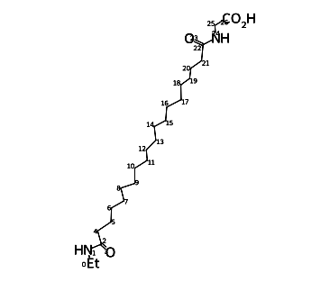 CCNC(=O)CCCCCCCCCCCCCCCCCCC(=O)NCC(=O)O